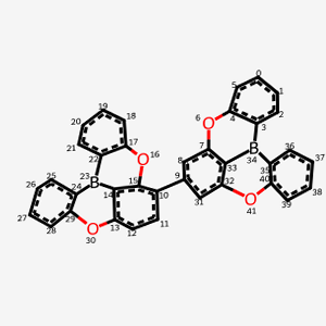 c1ccc2c(c1)Oc1cc(-c3ccc4c5c3Oc3ccccc3B5c3ccccc3O4)cc3c1B2c1ccccc1O3